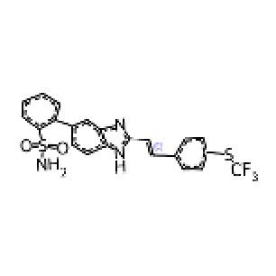 NS(=O)(=O)c1ccccc1-c1ccc2[nH]c(/C=C/c3ccc(SC(F)(F)F)cc3)nc2c1